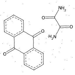 NC(=O)C(N)=O.O=C1c2ccccc2C(=O)c2ccccc21